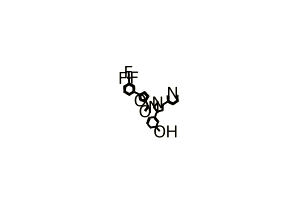 O=C(c1ccc(-c2cccc(C(F)(F)F)c2)o1)N1N=C(c2cccnc2)CC1C1=CC(O)CC=C1